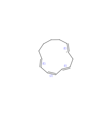 [C]1=C/CCCC/C=C/C=C\C=C\C/1